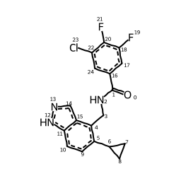 O=C(NCc1c(C2CC2)ccc2[nH]ncc12)c1cc(F)c(F)c(Cl)c1